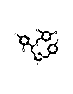 Fc1ccc(Cn2cc[n+](CC(OCc3ccc(Cl)cc3Cl)c3ccc(Cl)cc3Cl)c2)cc1.[I-]